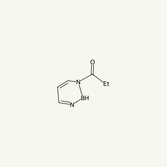 CCC(=O)N1BN=CC=C1